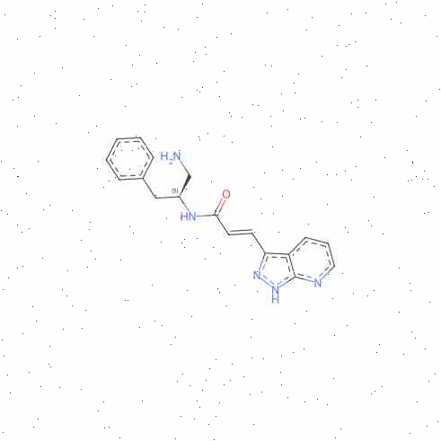 NC[C@H](Cc1ccccc1)NC(=O)C=Cc1n[nH]c2ncccc12